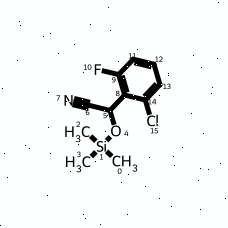 C[Si](C)(C)OC(C#N)c1c(F)cccc1Cl